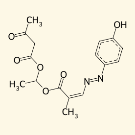 CC(=O)CC(=O)OC(C)OC(=O)C(C)=CN=Nc1ccc(O)cc1